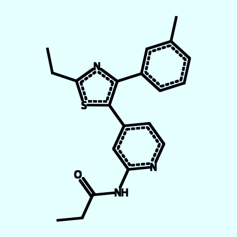 CCC(=O)Nc1cc(-c2sc(CC)nc2-c2cccc(C)c2)ccn1